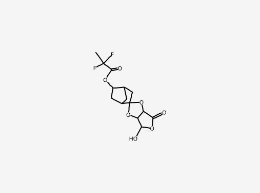 CC(F)(F)C(=O)OC1CC2CC1CC21OC2C(=O)OC(O)C2O1